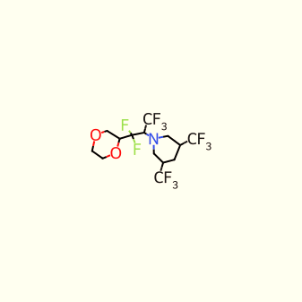 FC(F)(F)C1CC(C(F)(F)F)CN(C(C(F)(F)F)C(F)(F)C2COCCO2)C1